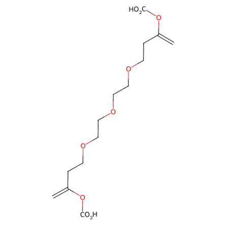 C=C(CCOCCOCCOCCC(=C)OC(=O)O)OC(=O)O